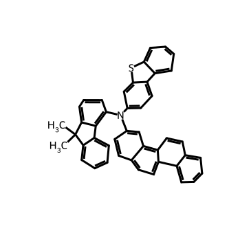 CC1(C)c2ccccc2-c2c(N(c3ccc4c(c3)sc3ccccc34)c3ccc4ccc5c6ccccc6ccc5c4c3)cccc21